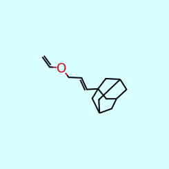 C=COCC=CC12CC3CC(CC(C3)C1)C2